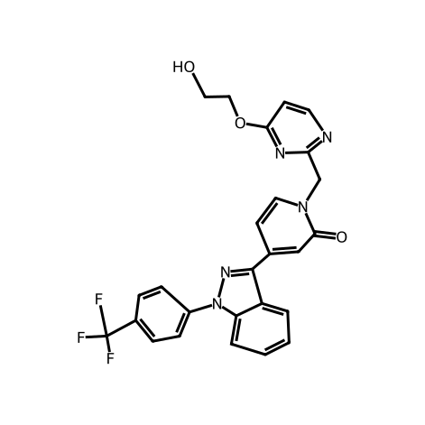 O=c1cc(-c2nn(-c3ccc(C(F)(F)F)cc3)c3ccccc23)ccn1Cc1nccc(OCCO)n1